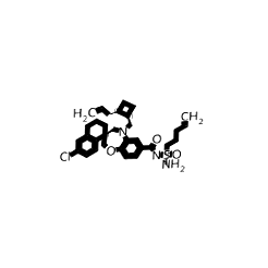 C=CCCC[S@](N)(=O)=NC(=O)c1ccc2c(c1)N(C[C@@H]1CC[C@H]1CC=C)C[C@@]1(CCCc3cc(Cl)ccc31)CO2